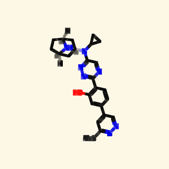 CSc1cc(-c2ccc(-c3ncc(N(C4CC4)[C@@H]4C[C@H]5CC[C@@H](C4)N5)nn3)c(O)c2)cnn1